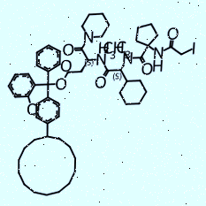 CN(C(=O)C1(NC(=O)CI)CCCC1)[C@H](C(=O)N(C)[C@@H](CC(=O)OC(c1ccccc1)(c1ccc(C2CCCCCCCCCCCCC2)cc1)c1ccccc1Cl)C(=O)N1CCCCC1)C1CCCCC1